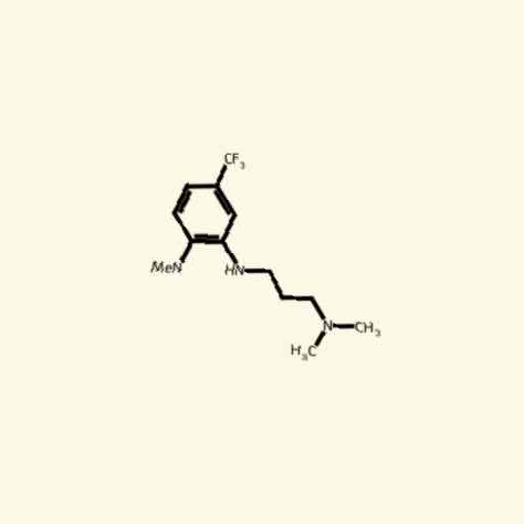 CNc1ccc(C(F)(F)F)cc1NCCCN(C)C